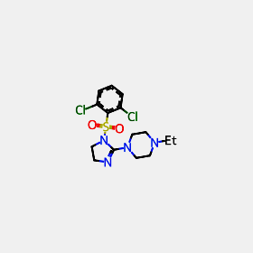 CCN1CCN(C2=NCCN2S(=O)(=O)c2c(Cl)cccc2Cl)CC1